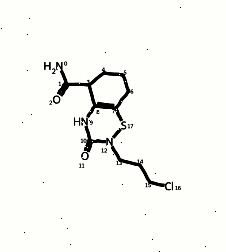 NC(=O)C1CCCC2=C1NC(=O)N(CCCCl)S2